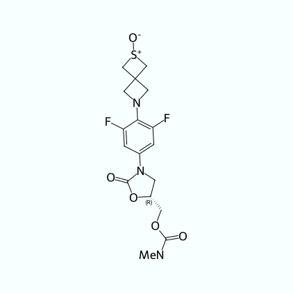 CNC(=O)OC[C@H]1CN(c2cc(F)c(N3CC4(C3)C[S+]([O-])C4)c(F)c2)C(=O)O1